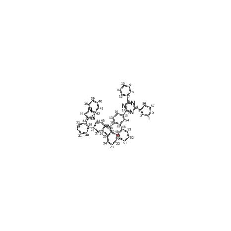 c1ccc(-c2nc(-c3ccccc3)nc(-c3ccc(-n4c5ccccc5c5cc(-c6ccccc6-c6cn7ccccc7n6)ccc54)c(-c4ccccc4)c3)n2)cc1